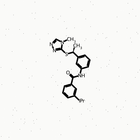 CC(C)c1cccc(C(=O)Nc2cccc([C@H](C)Sc3nncn3C)c2)c1